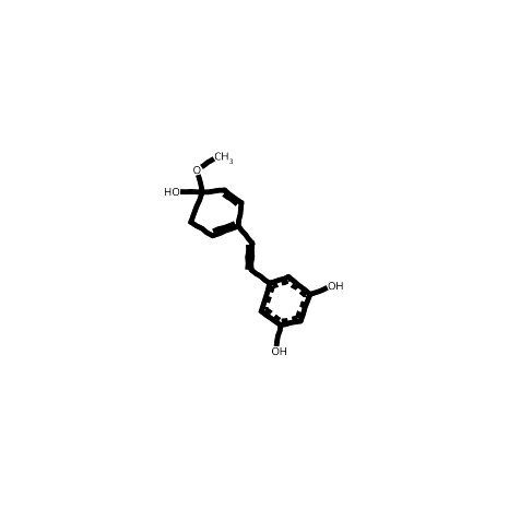 COC1(O)C=CC(C=Cc2cc(O)cc(O)c2)=CC1